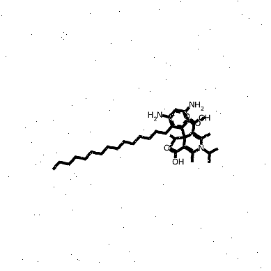 CCCCCCCCCCCCCCCc1c(N)cc(N)c(OC)c1C1(C(C)C)C(C(=O)O)=C(C)N(C(C)C)C(C)=C1C(=O)O